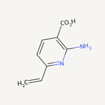 C=Cc1ccc(C(=O)O)c(N)n1